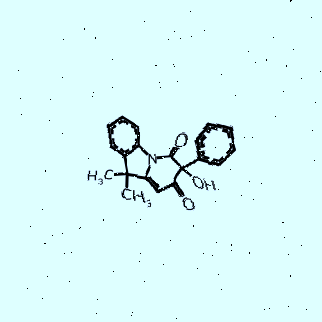 CC1(C)C2=CC(=O)C(O)(c3ccccc3)C(=O)N2c2ccccc21